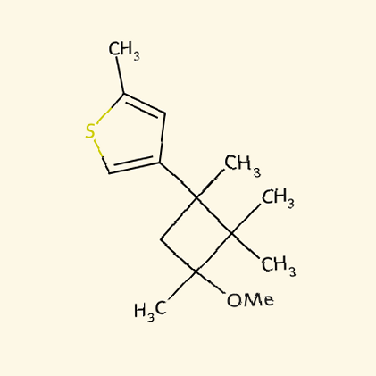 COC1(C)CC(C)(c2csc(C)c2)C1(C)C